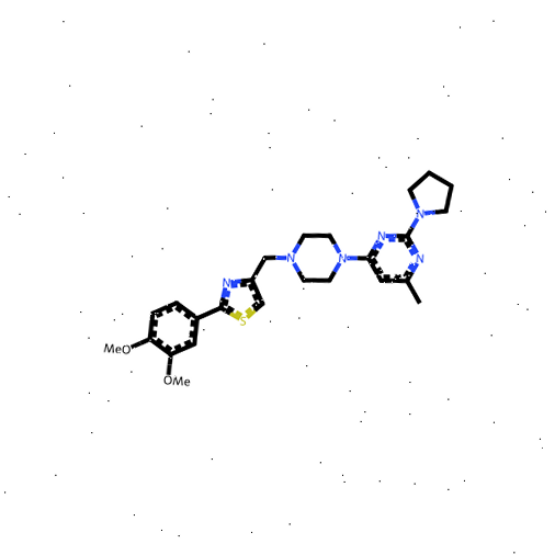 COc1ccc(-c2nc(CN3CCN(c4cc(C)nc(N5CCCC5)n4)CC3)cs2)cc1OC